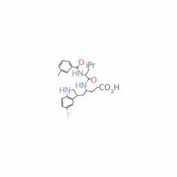 Cc1cccc(C(=O)NC(CC(C)C)C(=O)N[C@@H](CCC(=O)O)CC2CNc3ccc(F)cc32)c1